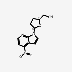 O=[N+]([O-])c1ccnc2c1ccn2[C@H]1CC[C@@H](CO)O1